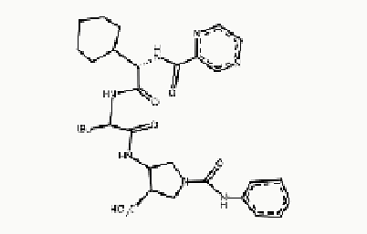 CC(C)(C)C(NC(=O)[C@@H](NC(=O)c1cnccn1)C1CCCCC1)C(=O)NC1CN(C(=O)Nc2ccccc2)C[C@H]1C(=O)O